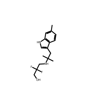 Cc1ccc2c(CC(C)(C)NCC(F)(F)CO)c[nH]c2c1